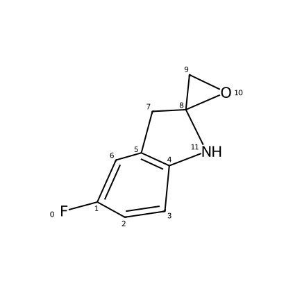 Fc1ccc2c(c1)CC1(CO1)N2